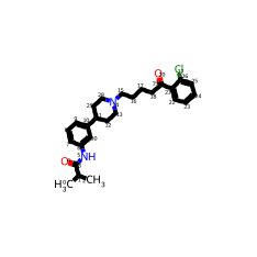 CC(C)C(=O)Nc1cccc(C2CCN(CCCCC(=O)c3ccccc3Cl)CC2)c1